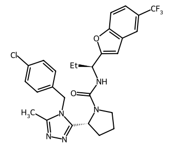 CC[C@H](NC(=O)N1CCC[C@@H]1c1nnc(C)n1Cc1ccc(Cl)cc1)c1cc2cc(C(F)(F)F)ccc2o1